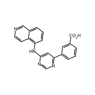 O=C(O)c1cccc(-c2cc(Nc3cccc4cnccc34)ncn2)c1